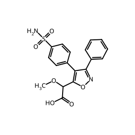 COC(C(=O)O)c1onc(-c2ccccc2)c1-c1ccc(S(N)(=O)=O)cc1